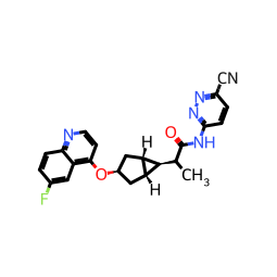 CC(C(=O)Nc1ccc(C#N)nn1)[C@H]1[C@@H]2C[C@@H](Oc3ccnc4ccc(F)cc34)C[C@@H]21